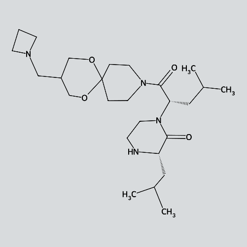 CC(C)C[C@@H]1NCCN([C@@H](CC(C)C)C(=O)N2CCC3(CC2)OCC(CN2CCC2)CO3)C1=O